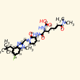 CN(C)C(=O)C=CCCC(NC(=O)O)C(=O)Nc1cccn(Cc2nc3c(CC(C)(C)C)cc(F)cc3n2C)c1=O